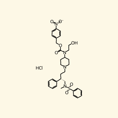 CN(C[C@@H](CCN1CCC(N(CCO)C(=O)OCc2ccc([N+](=O)[O-])cc2)CC1)c1ccccc1)S(=O)(=O)c1ccccc1.Cl